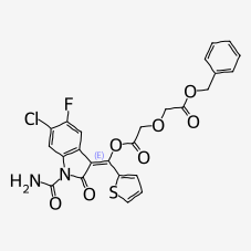 NC(=O)N1C(=O)/C(=C(/OC(=O)COCC(=O)OCc2ccccc2)c2cccs2)c2cc(F)c(Cl)cc21